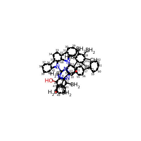 Bc1c(B)c(O)c(B)c(-c2ccc(-c3c(B)c(B)c(B)c(C)c3B)c(-n3c4ccccc4c4ccc5c6ccccc6n(-c6nc(-c7ccccc7)nc(-c7ccc(-c8ccccc8)cc7)n6)c5c43)c2)c1B